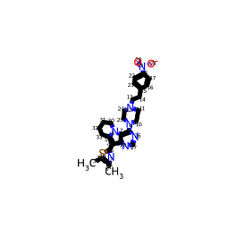 Cc1nc(-c2c3n(c4c(N5CCN(CCc6ccc([N+](=O)[O-])cc6)CC5)ncnc24)CCCC3)sc1C